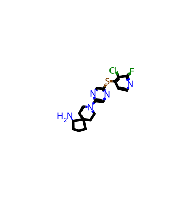 N[C@@H]1CCCC12CCN(c1cnc(Sc3ccnc(F)c3Cl)cn1)CC2